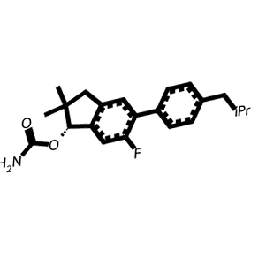 CC(C)Cc1ccc(-c2cc3c(cc2F)[C@H](OC(N)=O)C(C)(C)C3)cc1